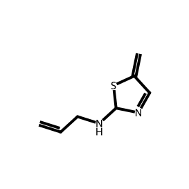 C=CCNC1N=CC(=C)S1